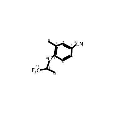 Cc1cc(C#N)ccc1OC(C)C(F)(F)F